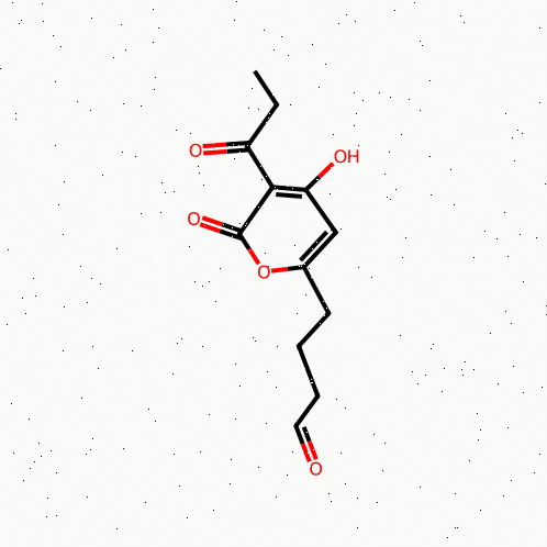 CCC(=O)c1c(O)cc(CCCC=O)oc1=O